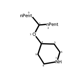 CCCCCC(CCCCC)OC1CCNCC1